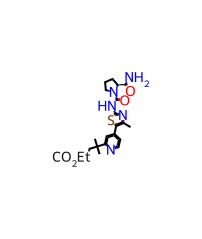 CCOC(=O)CC(C)(C)c1cc(-c2sc(NC(=O)N3CCC[C@H]3C(N)=O)nc2C)ccn1